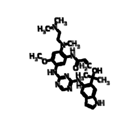 C=CC(=O)Nc1cc(Nc2ncnc(Nc3cc4cc[nH]c4cc3C(C)(C)O)n2)c(OC)cc1N(C)CCN(C)C